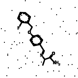 CC(N=Cc1ccc(OCc2ccccc2F)cc1)C(N)=O